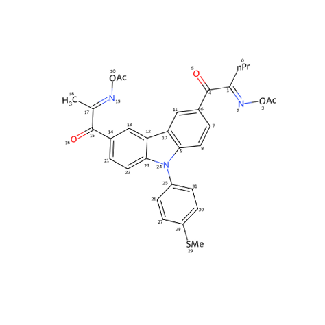 CCCC(=NOC(C)=O)C(=O)c1ccc2c(c1)c1cc(C(=O)C(C)=NOC(C)=O)ccc1n2-c1ccc(SC)cc1